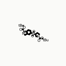 CC(C)(C)OC(=O)N1CCC(S(=O)(=O)c2ccc3c(cnn3C(=O)OC(C)(C)C)c2)C1